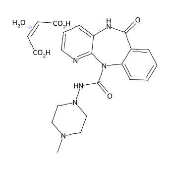 CN1CCN(NC(=O)N2c3ccccc3C(=O)Nc3cccnc32)CC1.O.O=C(O)/C=C\C(=O)O